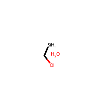 O.OC[SiH3]